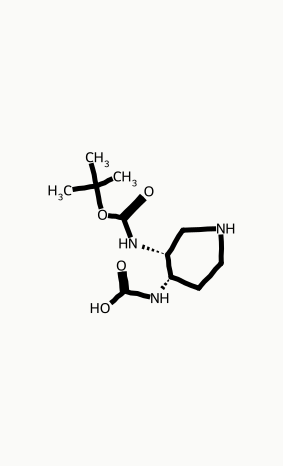 CC(C)(C)OC(=O)N[C@@H]1CNCC[C@@H]1NC(=O)O